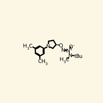 Cc1cc(C)cc(N2CC[C@@H](O/N=[N+](\[O-])N(C)C(C)(C)C)C2)c1